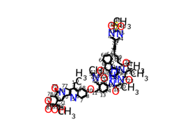 CCc1c2c(nc3ccc(OCc4ccc(NC(=O)[C@H](C)NC(=O)[C@@H](NC(=O)CCCC#Cc5cnc(S(C)(=O)=O)nc5)C(C)C)cc4CN(CC)C(=O)OC4c5ccccc5-c5ccccc54)cc13)-c1cc3c(c(=O)n1C2)COC(=O)[C@]3(O)CC